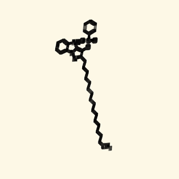 CCCCCCCCCCCCCCCCCc1nn2c([nH]c3ccccc32)c1OS(=O)(=O)c1ccccc1